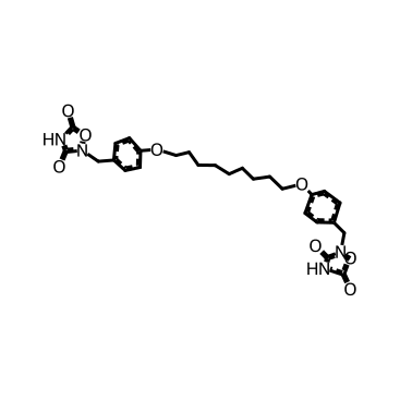 O=c1[nH]c(=O)n(Cc2ccc(OCCCCCCCCCOc3ccc(Cn4oc(=O)[nH]c4=O)cc3)cc2)o1